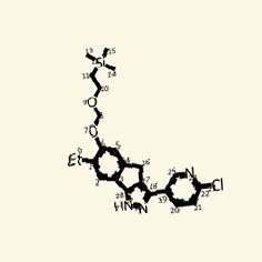 CCc1cc2c(cc1OCOCC[Si](C)(C)C)Cc1c(-c3ccc(Cl)nc3)n[nH]c1-2